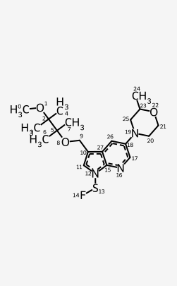 COC(C)(C)C(C)(C)OCc1cn(SF)c2ncc(N3CCOC(C)C3)cc12